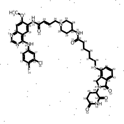 COc1cc2ncnc(Nc3ccc(F)c(Cl)c3)c2cc1NC(=O)C=CCN1CCC(NC(=O)CCCCCSc2cccc3c2CN(C2CCC(=O)NC2=O)C3=O)CC1